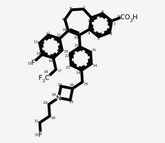 O=C(O)c1ccc2c(c1)CCCC(c1ccc(F)c(CC(F)(F)F)c1)=C2c1ccc(CC2CN(CCCF)C2)cc1